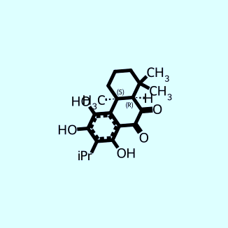 CC(C)c1c(O)c(O)c2c(c1O)C(=O)C(=O)[C@@H]1C(C)(C)CCC[C@]21C